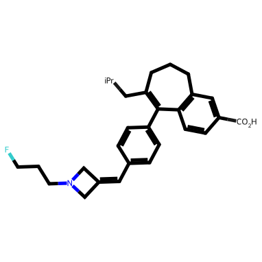 CC(C)CC1=C(c2ccc(C=C3CN(CCCF)C3)cc2)c2ccc(C(=O)O)cc2CCC1